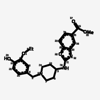 CCOc1cc(CN2CCC(Nc3nc4cc(C(=O)OC)ccc4o3)CC2)ccc1O